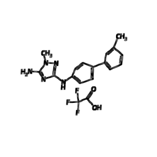 Cc1cccc(-c2ccc(Nc3nc(N)n(C)n3)cc2)c1.O=C(O)C(F)(F)F